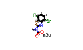 CCCCOC(=O)N(C)c1nc2c(Br)ccc(F)c2s1